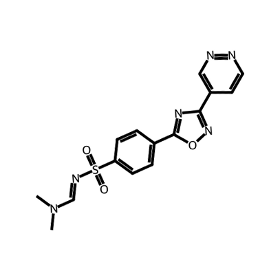 CN(C)C=NS(=O)(=O)c1ccc(-c2nc(-c3ccnnc3)no2)cc1